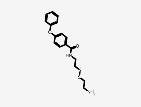 NCCSSCCNC(=O)c1ccc(Oc2ccccc2)cc1